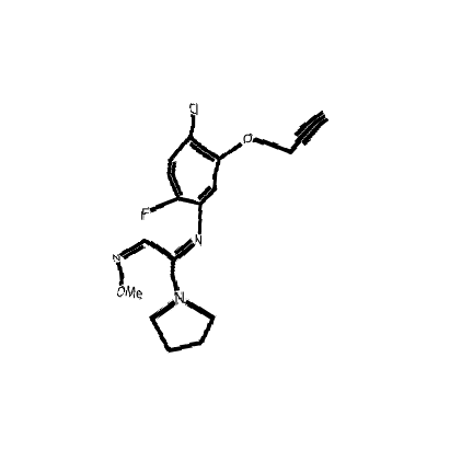 C#CCOc1cc(/N=C(\C=N/OC)N2CCCC2)c(F)cc1Cl